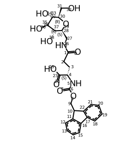 O=C(CC[C@H](NC(=O)OCC1c2ccccc2-c2ccccc21)C(=O)O)NC[C@@H]1O[C@H](CO)[C@@H](O)[C@H](O)[C@H]1O